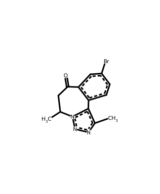 Cc1nnn2c1-c1ccc(Br)cc1C(=O)CC2C